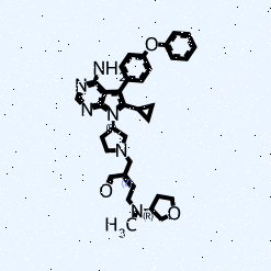 CN(C/C=C(\C=O)CN1CC[C@@H](n2c(C3CC3)c(-c3ccc(Oc4ccccc4)cc3)c3c(N)ncnc32)C1)[C@@H]1CCOC1